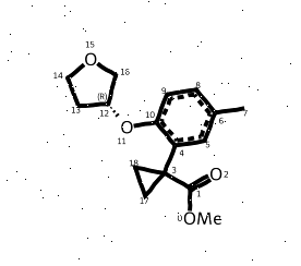 COC(=O)C1(c2cc(C)ccc2O[C@@H]2CCOC2)CC1